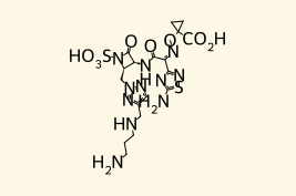 NCCCNCc1cnn(C[C@@H]2[C@H](NC(=O)/C(=N\OC3(C(=O)O)CC3)c3nsc(N)n3)C(=O)N2S(=O)(=O)O)n1